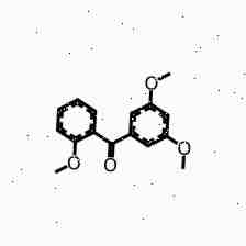 COc1cc(OC)cc(C(=O)c2ccccc2OC)c1